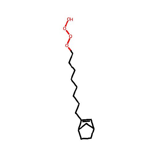 OOOOCCCCCCCCC1=CC2CCC1C2